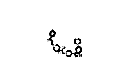 O=C(C=CN1CCC(O)(C(O)CN2CCC(c3c[nH]c4ccc(N5CCOCC5)cc34)CC2)CC1)c1ccc(F)cc1